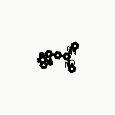 CC1(C)c2ccccc2C2(c3ccccc3-c3c(-c4ccc(-c5cc(-c6nc7ccccc7o6)cc(-c6nc7ccccc7o6)c5)cc4)cccc32)c2ccccc21